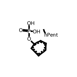 CCCCCC.O=P(O)(O)Oc1ccccc1